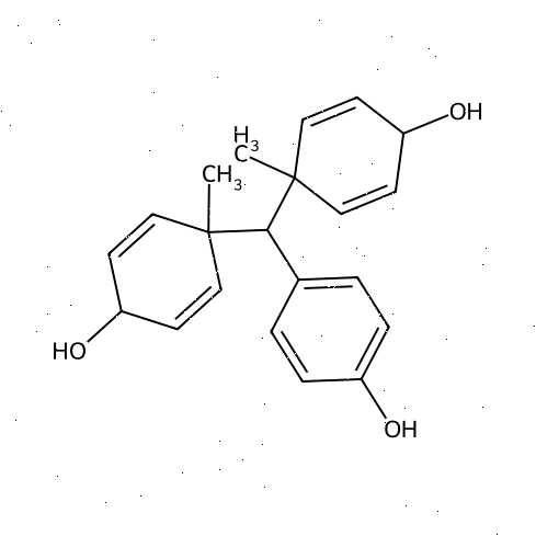 CC1(C(c2ccc(O)cc2)C2(C)C=CC(O)C=C2)C=CC(O)C=C1